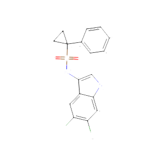 O=S(=O)(Nc1c[nH]c2cc(F)c(F)cc12)C1(c2ccccc2)CC1